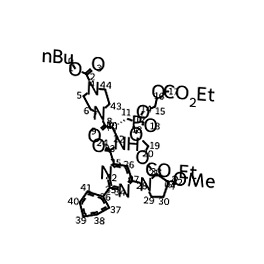 CCCCOC(=O)N1CCN(C(=O)[C@H](CP(=O)(OCOC(=O)OCC)OCOC(=O)OCC)NC(=O)c2cc(N3CC[C@H](OC)C3)nc(-c3ccccc3)n2)CC1